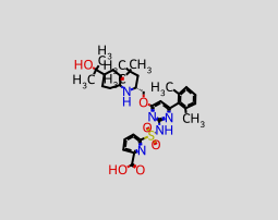 Cc1cccc(C)c1-c1cc(OC[C@@H](CC(C)(C)C)NC2CCC(C(C)(C)O)CC2)nc(NS(=O)(=O)c2cccc(C(=O)O)n2)n1